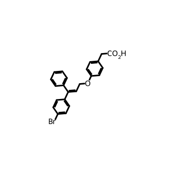 O=C(O)Cc1ccc(OC/C=C(\c2ccccc2)c2ccc(Br)cc2)cc1